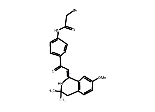 COc1ccc2c(c1)/C(=C/C(=O)c1ccc(NC(=O)CC(C)C)cc1)NC(C)(C)C2